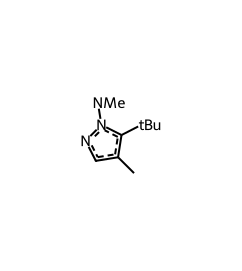 CNn1ncc(C)c1C(C)(C)C